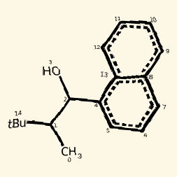 CC(C(O)c1cccc2ccccc12)C(C)(C)C